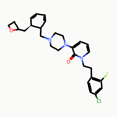 O=c1c(N2CCN(CC3C=CC=C[C@@H]3CC3CCO3)CC2)cccn1CCc1ccc(Cl)cc1F